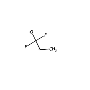 C[CH]C([O])(F)F